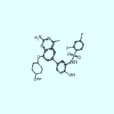 COC1CCC(Oc2cc(-c3cnc(O)c(NS(=O)(=O)c4ccc(F)cc4F)c3)cc3c(C)nc(N)nc23)CC1